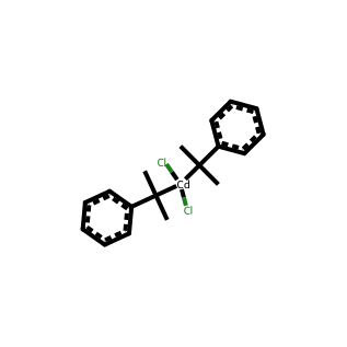 C[C](C)(c1ccccc1)[Cd]([Cl])([Cl])[C](C)(C)c1ccccc1